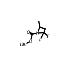 [CH2]C1CC(F)(F)N1C(=O)OC(C)(C)C